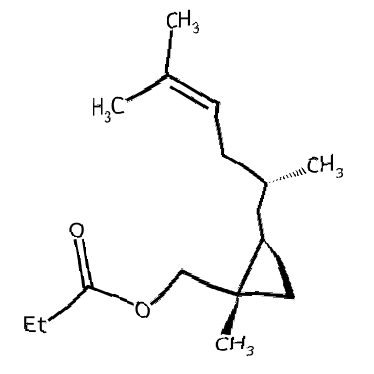 CCC(=O)OC[C@@]1(C)C[C@@H]1[C@@H](C)CC=C(C)C